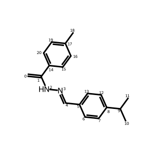 C=C(N/N=C/c1ccc(C(C)C)cc1)c1ccc(C)cc1